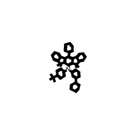 CC(C)(C)c1ccc(N(c2cccc(-c3ccccc3)c2)c2c3c(c(-c4ccccc4)c4c2C(C)(C)c2ccccc2-4)-c2ccccc2C3(C)C)cc1